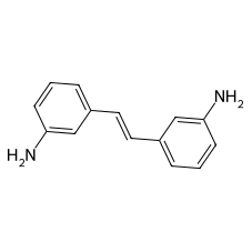 Nc1cccc(C=Cc2cccc(N)c2)c1